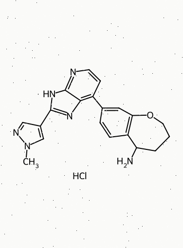 Cl.Cn1cc(-c2nc3c(-c4ccc5c(c4)OCCCC5N)ccnc3[nH]2)cn1